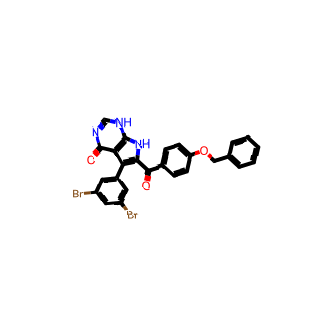 O=C(c1ccc(OCc2ccccc2)cc1)c1[nH]c2[nH]cnc(=O)c2c1-c1cc(Br)cc(Br)c1